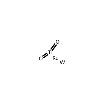 [O]=[Ti]=[O].[Ru].[W]